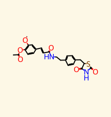 COc1cc(/C=C/C(=O)NCCc2ccc(CC3SC(=O)NC3=O)cc2)ccc1OC(C)=O